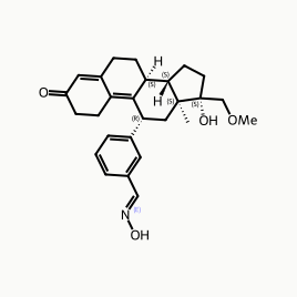 COC[C@]1(O)CC[C@H]2[C@@H]3CCC4=CC(=O)CCC4=C3[C@@H](c3cccc(/C=N/O)c3)C[C@@]21C